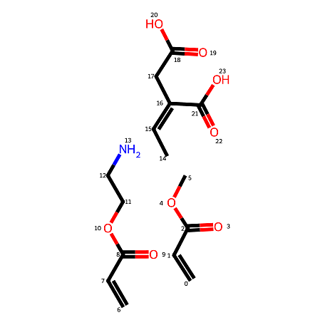 C=CC(=O)OC.C=CC(=O)OCCN.CC=C(CC(=O)O)C(=O)O